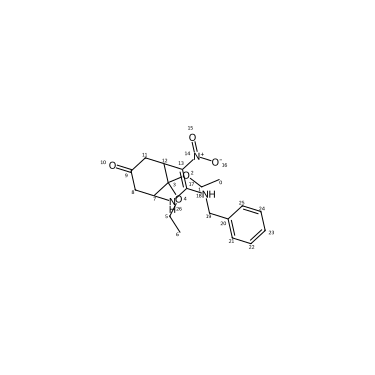 CCOC1(OCC)C2CC(=O)CC1C([N+](=O)[O-])=C(NCc1ccccc1)N2